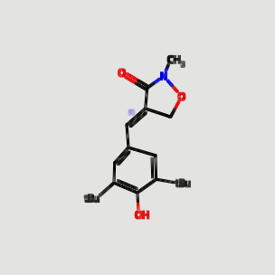 CN1OC/C(=C\c2cc(C(C)(C)C)c(O)c(C(C)(C)C)c2)C1=O